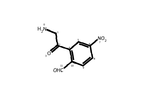 NCC(=O)c1cc([N+](=O)[O-])ccc1C=O